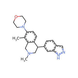 Cc1c(N2CCOCC2)ccc2c1CN(C)CC2c1ccc2cn[nH]c2c1